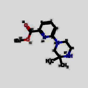 CC1(C)CN(c2cccc(C(=O)OC(C)(C)C)n2)CCN1